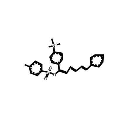 Cc1ccc(S(=O)(=O)OC(=CC=CC=Cc2ccccc2)c2ccc([N+](C)(C)C)cc2)cc1